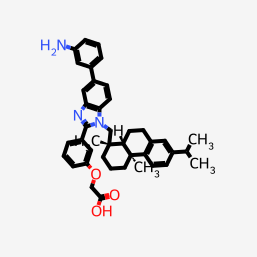 CC(C)c1ccc2c(c1)CC[C@H]1[C@@](C)(Cn3c(-c4cccc(OCC(=O)O)c4)nc4cc(-c5cccc(N)c5)ccc43)CCC[C@]21C